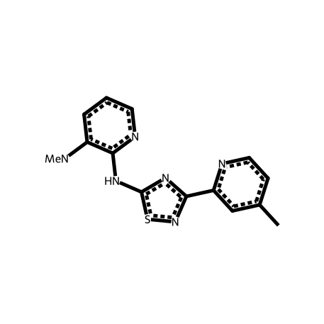 CNc1cccnc1Nc1nc(-c2cc(C)ccn2)ns1